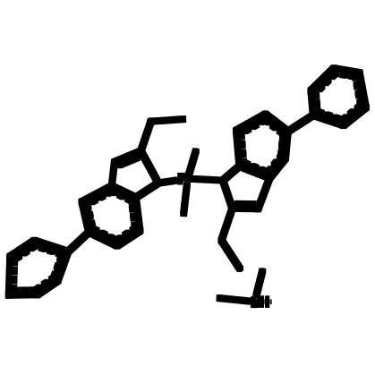 CCC1=Cc2cc(-c3ccccc3)ccc2[CH]1[Zr]([CH3])([CH3])[CH]1C(CC)=Cc2cc(-c3ccccc3)ccc21.C[SiH]C